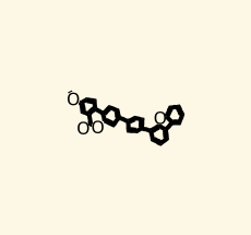 COc1ccc2c(c1)c(=O)oc1cc(-c3ccc(-c4cccc5c4oc4ccccc45)cc3)ccc12